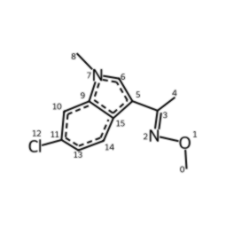 CON=C(C)c1cn(C)c2cc(Cl)ccc12